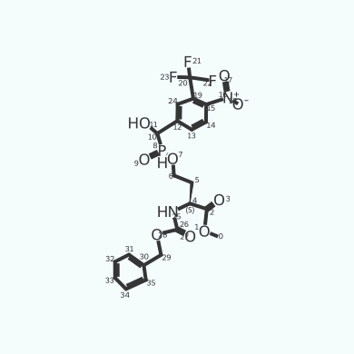 COC(=O)[C@H](CCO[PH](=O)C(O)c1ccc([N+](=O)[O-])c(C(F)(F)F)c1)NC(=O)OCc1ccccc1